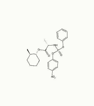 C[C@H](NP(=O)(Oc1ccccc1)Oc1ccc([N+](=O)[O-])cc1)C(=O)O[C@@H]1CCCC[C@H]1C